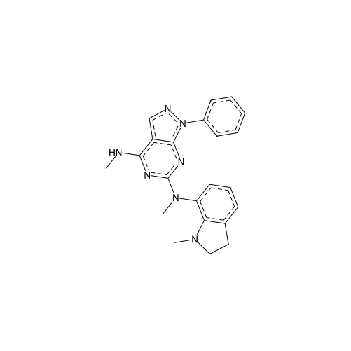 CNc1nc(N(C)c2cccc3c2N(C)CC3)nc2c1cnn2-c1ccccc1